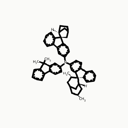 C[C@@H]1CC2C[C@@H](C1)[C@@]1(c3ccccc3-c3ccc(N(c4ccc5c(c4)-c4ccccc4[C@@]54CC5CC[C@H]4C5)c4ccc5c(c4)C(C)(C)c4ccccc4-5)cc31)[C@@H](C)C2